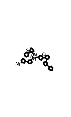 N#Cc1cccc(-c2cccc(-c3nc(-c4ccc5c(c4)oc4cccc(-c6cccc(-c7ccccc7)c6)c45)nc(-c4cccc5sc6ccccc6c45)n3)c2)c1